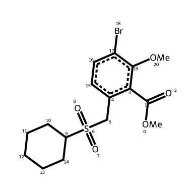 COC(=O)c1c(CS(=O)(=O)C2CCCCC2)ccc(Br)c1OC